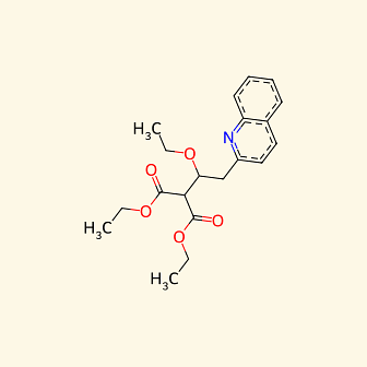 CCOC(=O)C(C(=O)OCC)C(Cc1ccc2ccccc2n1)OCC